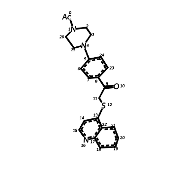 CC(=O)N1CCN(c2ccc(C(=O)CSc3ccnc4ccccc34)cc2)CC1